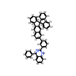 c1ccc(-c2nc(-c3cccc(-c4ccc5cc6c(cc5c4)C(c4ccccc4)(c4ccccc4)c4ccccc4-6)c3)nc3ccccc23)cc1